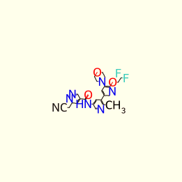 Cc1ncc(NC(=O)c2cnnc(CC#N)c2)cc1-c1cnc(OCC(F)F)c(N2CCOCC2)c1